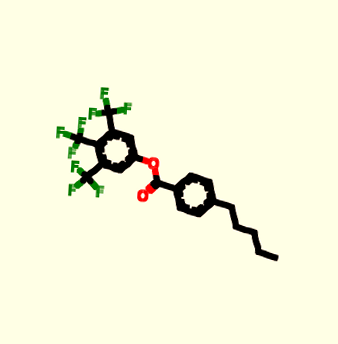 CCCCCc1ccc(C(=O)Oc2cc(C(F)(F)F)c(C(F)(F)F)c(C(F)(F)F)c2)cc1